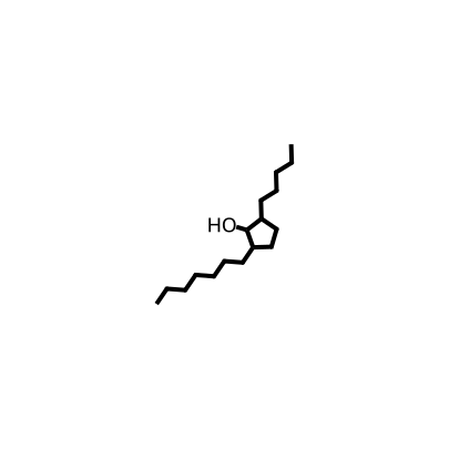 CCCCCCCC1CCC(CCCCC)C1O